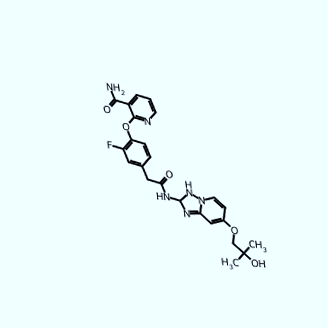 CC(C)(O)COC1=CC2=NC(NC(=O)Cc3ccc(Oc4ncccc4C(N)=O)c(F)c3)NN2C=C1